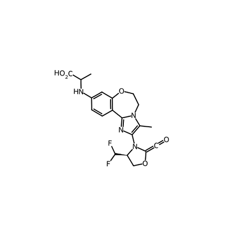 Cc1c(N2C(=C=O)OC[C@H]2C(F)F)nc2n1CCOc1cc(NC(C)C(=O)O)ccc1-2